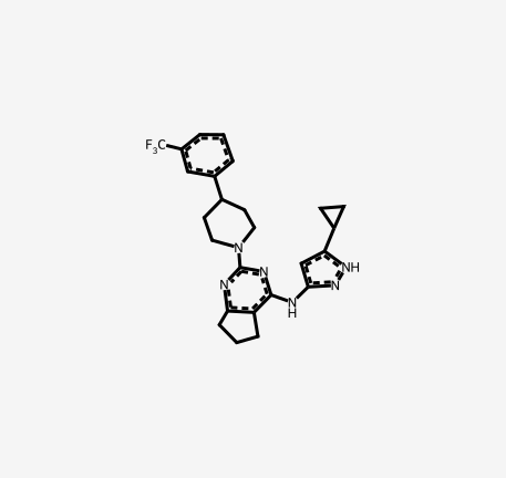 FC(F)(F)c1cccc(C2CCN(c3nc4c(c(Nc5cc(C6CC6)[nH]n5)n3)CCC4)CC2)c1